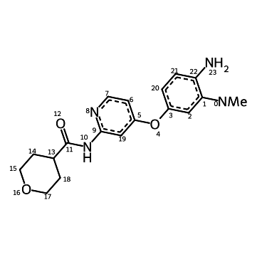 CNc1cc(Oc2ccnc(NC(=O)C3CCOCC3)c2)ccc1N